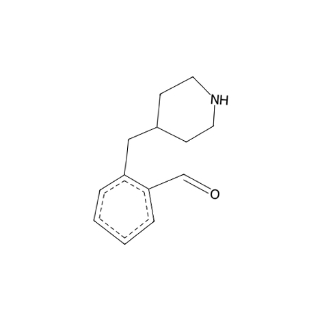 O=Cc1ccccc1CC1CCNCC1